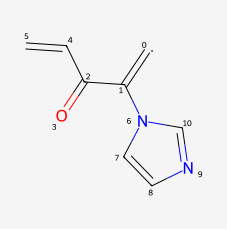 [CH]=C(C(=O)C=C)n1ccnc1